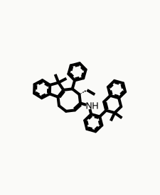 CC[C@@H]1/C(Nc2ccccc2C2=Cc3ccccc3CC2(C)C)=C\CCC2=C(C1c1ccccc1)C(C)(C)c1ccccc12